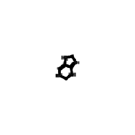 C1=C2NCN=C2NCN1